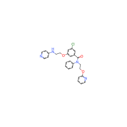 O=C(c1cc(Cl)cc(OCCNc2ccncc2)c1)N(CCOc1ccccn1)c1ccccc1